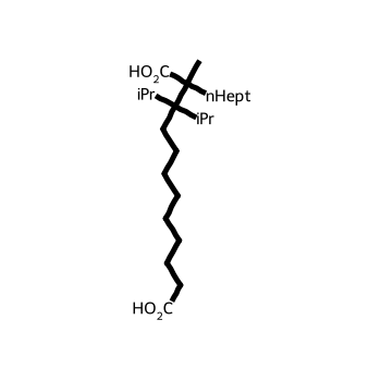 CCCCCCCC(C)(C(=O)O)C(CCCCCCCCC(=O)O)(C(C)C)C(C)C